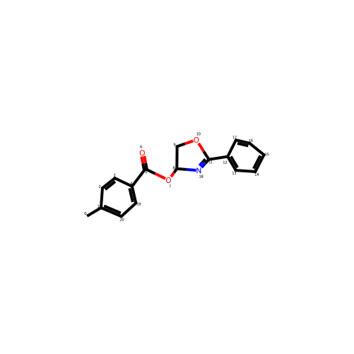 Cc1ccc(C(=O)OC2COC(c3ccccc3)=N2)cc1